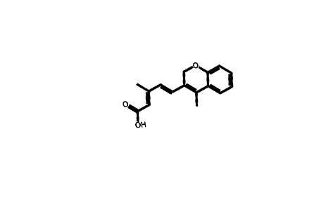 CC(C=CC1=C(C)c2ccccc2OC1)=CC(=O)O